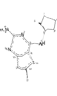 Nc1nc(NC2CCCC2)c2sc(I)cc2n1